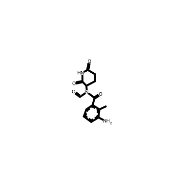 Cc1c(N)cccc1C(=O)N(C=O)C1CCC(=O)NC1=O